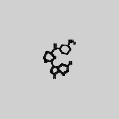 NC1CCCC(Nc2ccnc(-c3c[nH]c4ncc(Cl)cc34)n2)C1